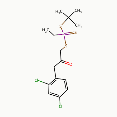 CCP(=S)(SCC(=O)Cc1ccc(Cl)cc1Cl)SC(C)(C)C